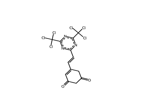 O=C1C=C(C=Cc2nc(C(Cl)(Cl)Cl)nc(C(Cl)(Cl)Cl)n2)CC(=O)C1